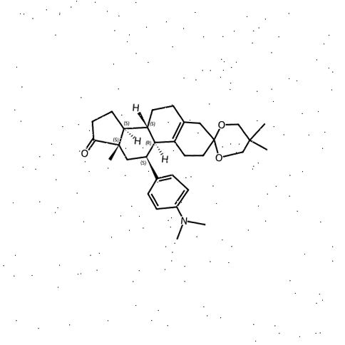 CN(C)c1ccc([C@H]2C[C@]3(C)C(=O)CC[C@H]3[C@@H]3CCC4=C(CCC5(C4)OCC(C)(C)CO5)[C@H]32)cc1